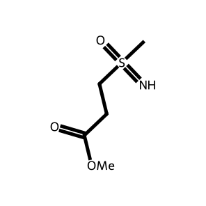 COC(=O)CCS(C)(=N)=O